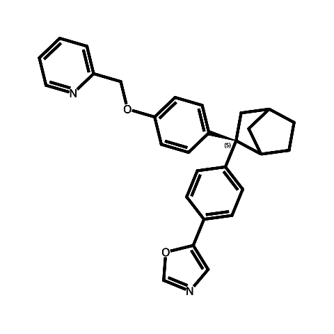 c1ccc(COc2ccc([C@@]3(c4ccc(-c5cnco5)cc4)CC4CCC3C4)cc2)nc1